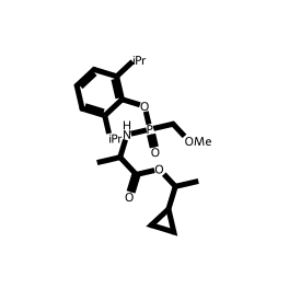 COCP(=O)(NC(C)C(=O)OC(C)C1CC1)Oc1c(C(C)C)cccc1C(C)C